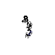 C=C(/C=C(F)\C=C(/C)C(F)(F)F)[C@H]1OC(=O)N(CC(=O)NCc2ccccc2OCC)[C@H]1C